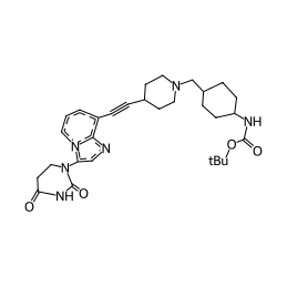 CC(C)(C)OC(=O)NC1CCC(CN2CCC(C#Cc3cccn4c(N5CCC(=O)NC5=O)cnc34)CC2)CC1